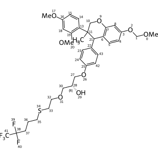 COCOc1ccc2c(c1)OCC(C)(c1ccc(OC)cc1OC)C2c1ccc(OC[C@H](O)COCCSCCCC(F)(F)C(F)(F)F)cc1